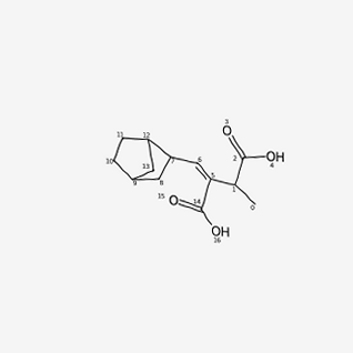 CC(C(=O)O)C(=CC1CC2CCC1C2)C(=O)O